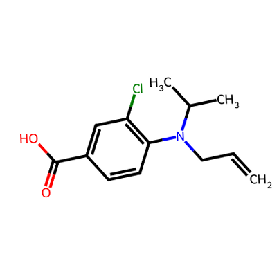 C=CCN(c1ccc(C(=O)O)cc1Cl)C(C)C